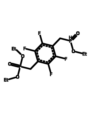 CCO[PH](=O)Cc1c(F)c(F)c(CP(=O)(OCC)OCC)c(F)c1F